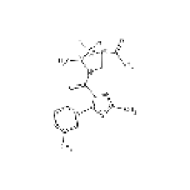 [CH2][C@H]1[C@H]2C[C@]2(C(N)=O)CN1C(=O)c1nc(C)sc1-c1cccc(C)c1